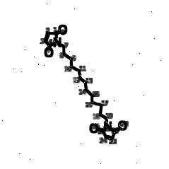 O=C1C=CC(=O)N1CCCCCCCCCCCCCN1C(=O)C=CC1=O